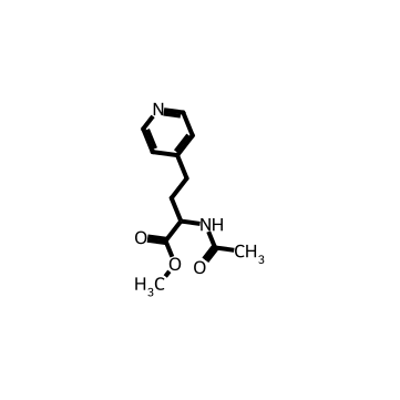 COC(=O)C(CCc1ccncc1)NC(C)=O